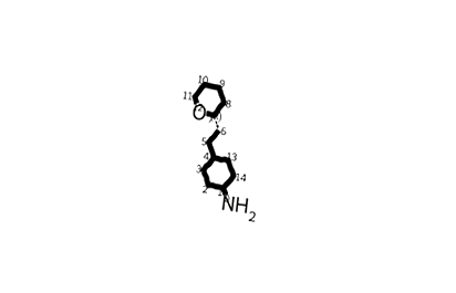 NC1CCC(CC[C@H]2CCCCO2)CC1